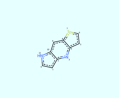 c1cc2nc3ccsc3cc2[nH]1